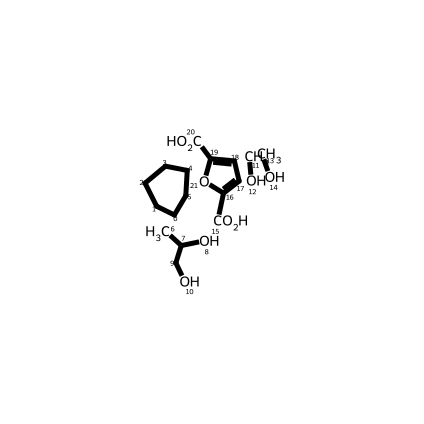 C1CCCCC1.CC(O)CO.CO.CO.O=C(O)c1ccc(C(=O)O)o1